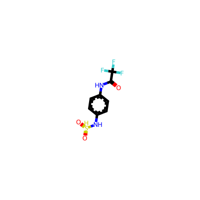 O=C(Nc1ccc(N[SH](=O)=O)cc1)C(F)(F)F